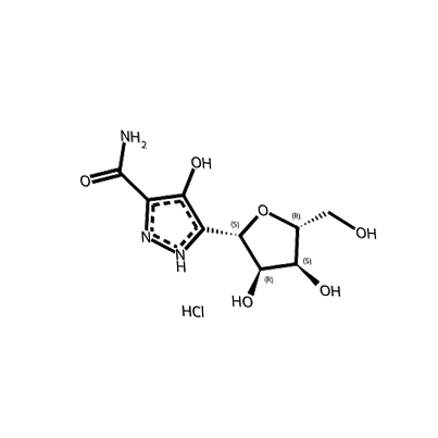 Cl.NC(=O)c1n[nH]c([C@@H]2O[C@H](CO)[C@@H](O)[C@H]2O)c1O